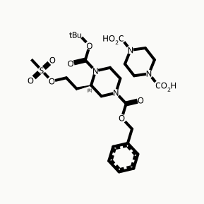 CC(C)(C)OC(=O)N1CCN(C(=O)OCc2ccccc2)C[C@H]1CCOS(C)(=O)=O.O=C(O)N1CCN(C(=O)O)CC1